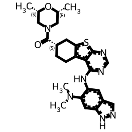 C[C@@H]1CN(C(=O)[C@H]2CCc3c(sc4ncnc(Nc5cc6cn[nH]c6cc5N(C)C)c34)C2)C[C@H](C)O1